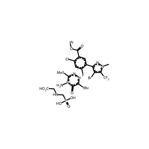 CC(C)OC(=O)c1cc(-c2nn(C)c(C(F)(F)F)c2Br)c(F)cc1Cl.CSc1nnc(C(C)(C)C)c(=O)n1N.O=C(O)CNCP(=O)(O)O